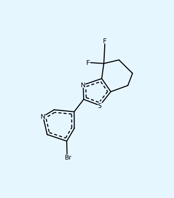 FC1(F)CCCc2sc(-c3cncc(Br)c3)nc21